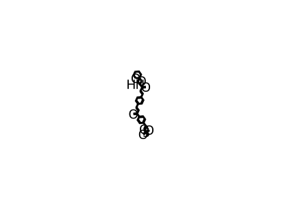 CS(=O)(=O)OCc1ccc(C(=O)/C=C/c2ccc(/C=C/C(=O)NOC3CCCCO3)cc2)cc1